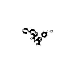 CN(C(=O)c1cnn2ccc(N3CCOCC3)nc12)c1cn([C@H]2CC[C@H](C=O)CC2)nc1C(F)F